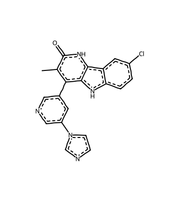 Cc1c(-c2cncc(-n3ccnc3)c2)c2[nH]c3ccc(Cl)cc3c2[nH]c1=O